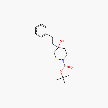 CC(C)(C)OC(=O)N1CCC(O)(CCc2ccccc2)CC1